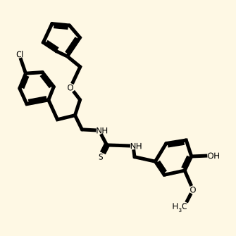 COc1cc(CNC(=S)NCC(COCc2ccccc2)Cc2ccc(Cl)cc2)ccc1O